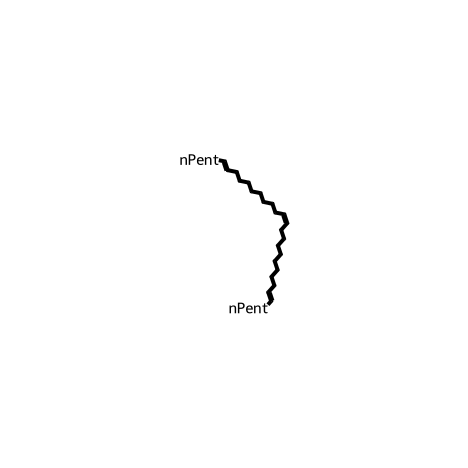 CCCCCC=CCCCCCCCC/C=C\CCCCCCCCC=CCCCCC